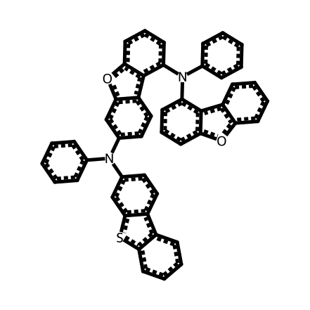 c1ccc(N(c2ccc3c(c2)oc2cccc(N(c4ccccc4)c4cccc5oc6ccccc6c45)c23)c2ccc3c(c2)sc2ccccc23)cc1